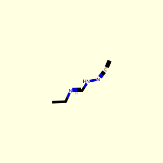 C=C=NN/C=N/CC